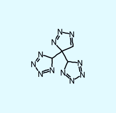 C1=NN=NC1(C1N=NN=N1)C1N=NN=N1